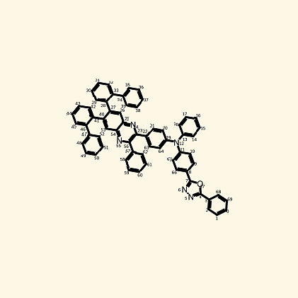 c1ccc(-c2nnc(-c3ccc(N(c4ccccc4)c4ccc(-c5nc6cc(-c7ccccc7-c7ccccc7)c(-c7ccccc7-c7ccccc7)cc6nc5-c5ccccc5)cc4)cc3)o2)cc1